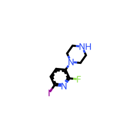 Fc1nc(I)ccc1N1CCNCC1